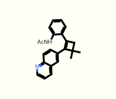 CC(=O)Nc1ccccc1C1=C(c2ccc3ncccc3c2)C(C)(C)C1